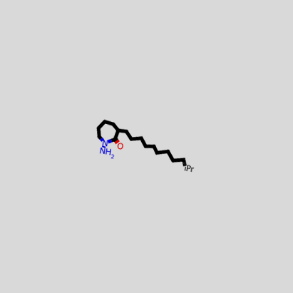 CC(C)CCCCCCCCCC1CCCCN(N)C1=O